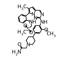 COc1cc(C2CCN(CC(N)=O)CC2)ccc1Nc1ncc2cc(C)c(-c3ccccc3NCS(C)(=O)=O)n2n1